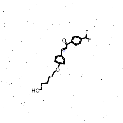 O=C(/C=C/c1ccc(OCCCCCCO)cc1)c1ccc(C(F)F)cc1